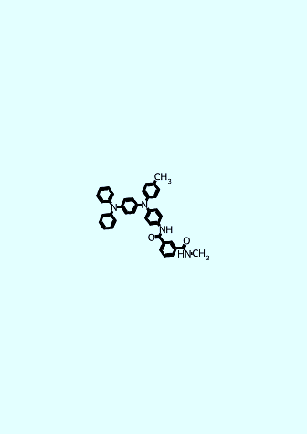 CNC(=O)c1cccc(C(=O)Nc2ccc(N(c3ccc(C)cc3)c3ccc(N(c4ccccc4)c4ccccc4)cc3)cc2)c1